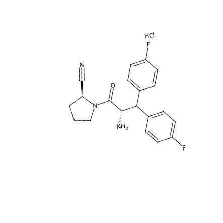 Cl.N#C[C@@H]1CCCN1C(=O)[C@@H](N)C(c1ccc(F)cc1)c1ccc(F)cc1